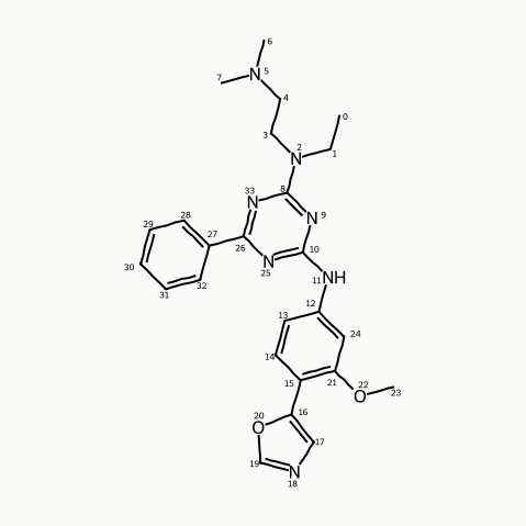 CCN(CCN(C)C)c1nc(Nc2ccc(-c3cnco3)c(OC)c2)nc(-c2ccccc2)n1